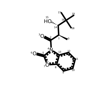 C[C@@H](C(=O)n1c(=O)oc2ccccc21)[C@H](O)C(C)(C)C